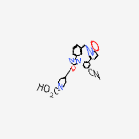 N#Cc1cccc(-c2ccc(=O)n(Cc3cccc(-c4ncc(OCC5CCN(CC(=O)O)CC5)cn4)c3)c2)c1